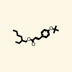 CCCCC(CC)COC(=O)C=Cc1ccc(OC(C)(C)C)cc1